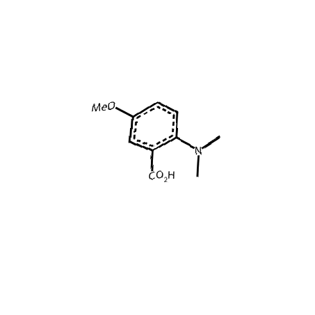 COc1ccc(N(C)C)c(C(=O)O)c1